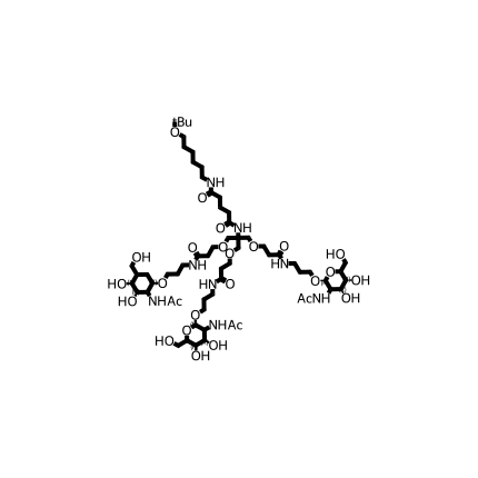 CC(=O)NC1[C@H](OCCCNC(=O)CCOCC(COCCC(=O)NCCCO[C@@H]2OC(CO)[C@H](O)[C@H](O)C2NC(C)=O)(COCCC(=O)NCCCO[C@@H]2CC(CO)[C@H](O)[C@H](O)C2NC(C)=O)NC(=O)CCCC(=O)NCCCCCCOC(C)(C)C)OC(CO)[C@H](O)[C@@H]1O